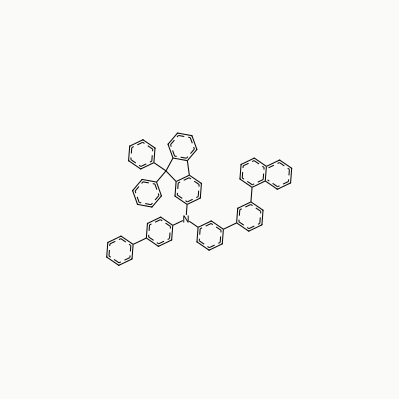 c1ccc(-c2ccc(N(c3cccc(-c4cccc(-c5cccc6ccccc56)c4)c3)c3ccc4c(c3)C(c3ccccc3)(c3ccccc3)c3ccccc3-4)cc2)cc1